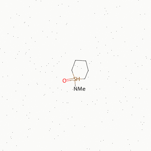 CN[SH]1(=O)CCCCC1